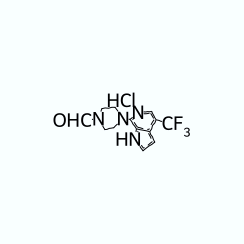 Cl.O=CN1CCN(c2ncc(C(F)(F)F)c3cc[nH]c23)CC1